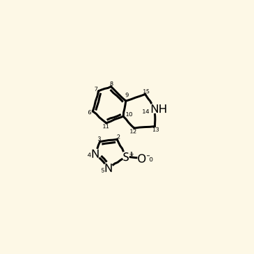 [O-][s+]1ccnn1.c1ccc2c(c1)CCNC2